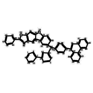 c1ccc(-c2cccc(N(c3ccc(-c4cc5ccccc5c5ccccc45)cc3)c3ccc4oc5cc6oc(-c7ccccc7)nc6cc5c4c3)c2)cc1